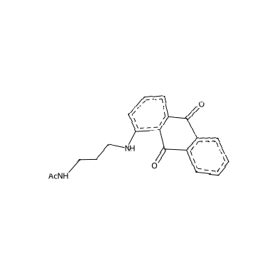 CC(=O)NCCCNc1cccc2c1C(=O)c1ccccc1C2=O